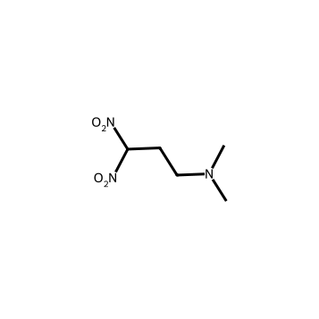 CN(C)CCC([N+](=O)[O-])[N+](=O)[O-]